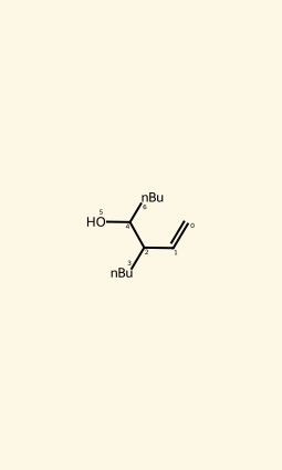 C=CC(CCCC)C(O)CCCC